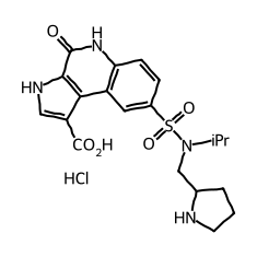 CC(C)N(CC1CCCN1)S(=O)(=O)c1ccc2[nH]c(=O)c3[nH]cc(C(=O)O)c3c2c1.Cl